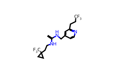 C=C(NCCC1(C(F)(F)F)CC1)NCc1ccnc(CCC(F)(F)F)c1